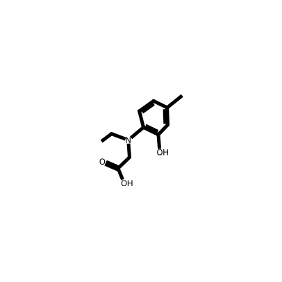 CCN(CC(=O)O)c1ccc(C)cc1O